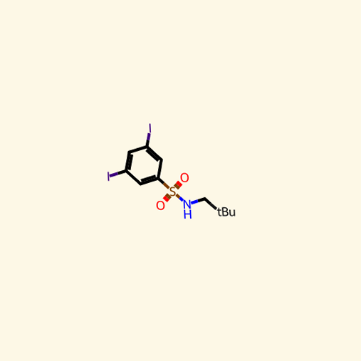 CC(C)(C)CNS(=O)(=O)c1cc(I)cc(I)c1